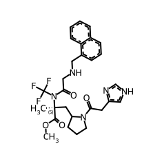 COC(=O)[C@](C)(CC1CCCN1C(=O)Cc1c[nH]cn1)N(C(=O)CNCc1cccc2ccccc12)C(F)(F)F